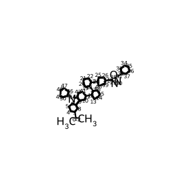 CC(C)c1ccc2c(c1)c1cc(-c3ccccc3-c3ccccc3-c3ccc(-c4nnc(-c5ccccc5)o4)cc3)ccc1n2-c1ccccc1